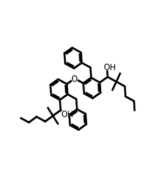 CCCCC(C)(C)C(O)c1cccc(Oc2cccc(C(O)C(C)(C)CCCC)c2Cc2ccccc2)c1Cc1ccccc1